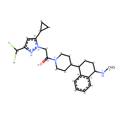 O=CNC1CCC(C2CCN(C(=O)Cn3nc(C(F)F)cc3C3CC3)CC2)c2ccccc21